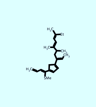 C=C/C=C(\SC)C1=CC=C(/C(=C/C)CC(C)/C(C)=C/C=C(/C)CC)C1